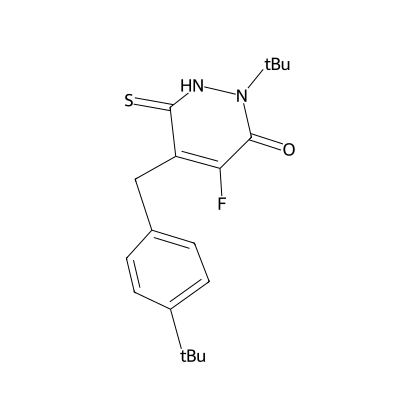 CC(C)(C)c1ccc(Cc2c(F)c(=O)n(C(C)(C)C)[nH]c2=S)cc1